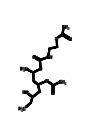 CCC(O)CC(CC(C)OC(=O)NCCOC(C)=O)OC(C)=O